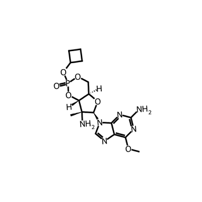 COc1nc(N)nc2c1ncn2[C@@H]1O[C@@H]2COP(=O)(OC3CCC3)O[C@H]2[C@@]1(C)N